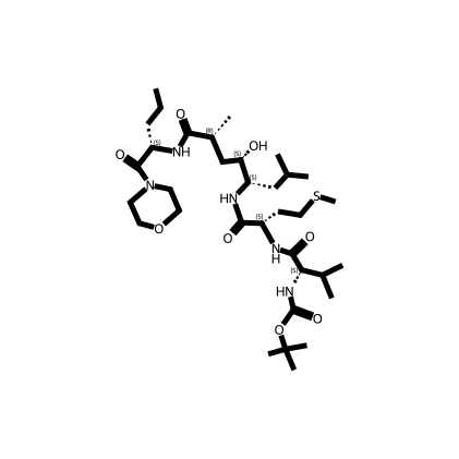 CCC[C@H](NC(=O)[C@H](C)C[C@H](O)[C@H](CC(C)C)NC(=O)[C@H](CCSC)NC(=O)[C@@H](NC(=O)OC(C)(C)C)C(C)C)C(=O)N1CCOCC1